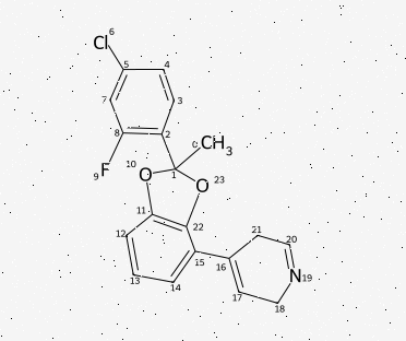 CC1(c2ccc(Cl)cc2F)Oc2cccc(C3=CCN=CC3)c2O1